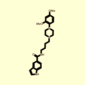 COc1ccc(N2CCN(CCCCNC(=O)c3ccc4[nH]ccc4c3)CC2)c(OC)c1